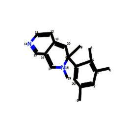 Cc1cc(C)c(C)c(C2(C)C=c3ccncc3=CN2C)c1